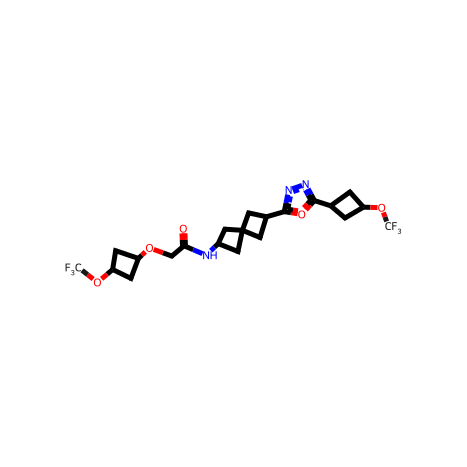 O=C(COC1CC(OC(F)(F)F)C1)NC1CC2(C1)CC(c1nnc(C3CC(OC(F)(F)F)C3)o1)C2